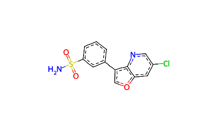 NS(=O)(=O)c1cccc(-c2coc3cc(Cl)cnc23)c1